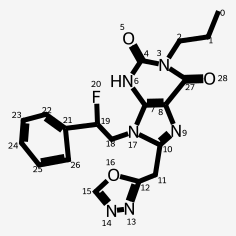 CCCn1c(=O)[nH]c2c(nc(Cc3nnco3)n2CC(F)c2ccccc2)c1=O